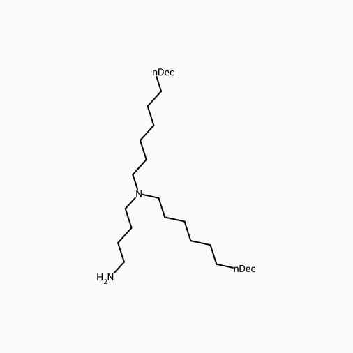 CCCCCCCCCCCCCCCCN(CCCCN)CCCCCCCCCCCCCCCC